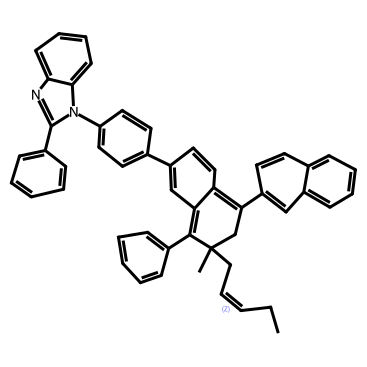 CC/C=C\CC1(C)CC(c2ccc3ccccc3c2)=c2ccc(-c3ccc(-n4c(-c5ccccc5)nc5ccccc54)cc3)cc2=C1c1ccccc1